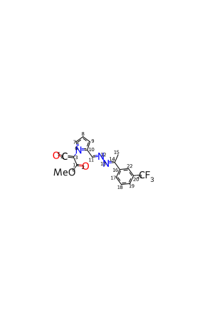 COC(=O)C(=C=O)n1cccc1C=NN=C(C)c1cccc(C(F)(F)F)c1